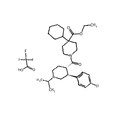 CCOC(=O)C1(C2CCCCC2)CCN(C(=O)[C@H]2CCN(C(C)C)C[C@@H]2c2ccc(Cl)cc2)CC1.O=C(O)C(F)(F)F